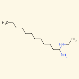 CCCCCCCCCCCC(N)NCC